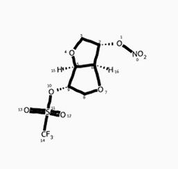 O=[N+]([O-])O[C@H]1CO[C@H]2[C@@H]1OC[C@@H]2OS(=O)(=O)C(F)(F)F